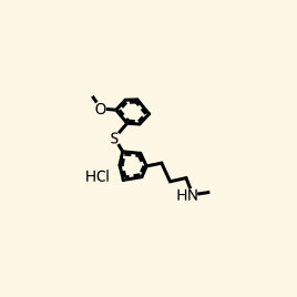 CNCCCc1cccc(Sc2ccccc2OC)c1.Cl